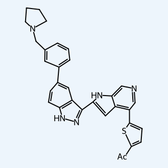 CC(=O)c1ccc(-c2cncc3[nH]c(-c4n[nH]c5ccc(-c6cccc(CN7CCCC7)c6)cc45)cc23)s1